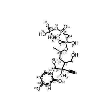 C#CC1(N)C(CO)[C@@H]([C@@H](C)OP(=O)(O)OP(=O)(O)OP(=O)(O)O)O[C@H]1n1ccc(=O)[nH]c1=O